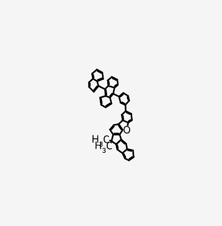 CC1(C)c2cc3ccccc3cc2-c2c1ccc1c2oc2ccc(-c3cccc(-c4c5ccccc5c(-c5cccc6ccccc56)c5ccccc45)c3)cc21